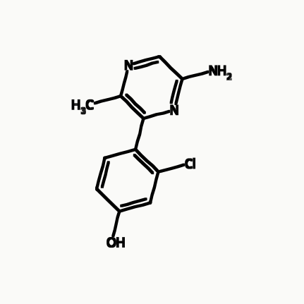 Cc1ncc(N)nc1-c1ccc(O)cc1Cl